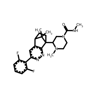 CNC(=O)N1CCN(C)C(C23CCC(c4cc(-c5c(F)cccc5F)nnc42)C3(C)C)C1